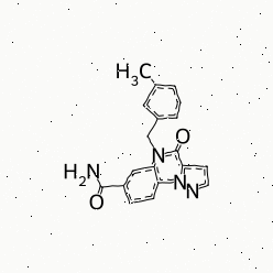 Cc1cccc(Cn2c(=O)c3ccnn3c3ccc(C(N)=O)cc32)c1